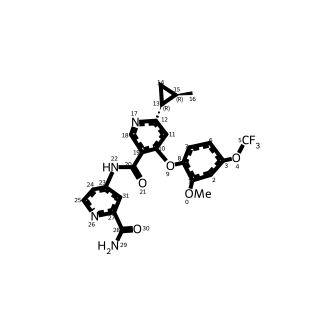 COc1cc(OC(F)(F)F)ccc1Oc1cc([C@@H]2C[C@H]2C)ncc1C(=O)Nc1ccnc(C(N)=O)c1